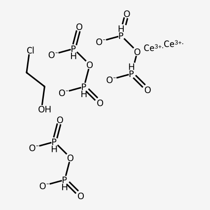 O=[PH]([O-])O[PH](=O)[O-].O=[PH]([O-])O[PH](=O)[O-].O=[PH]([O-])O[PH](=O)[O-].OCCCl.[Ce+3].[Ce+3]